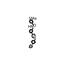 CSc1ccc(C(=O)NCc2cccc(C3CCN(Cc4ccc(N5CCCC5)cc4)CC3)c2)cc1